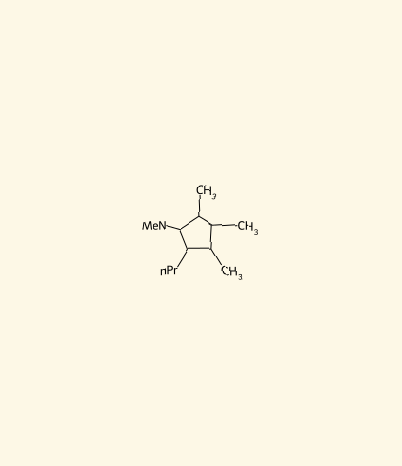 CCCC1C(C)C(C)C(C)C1NC